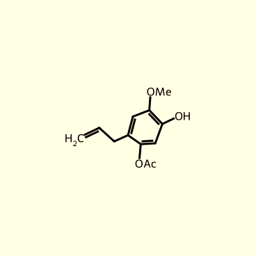 C=CCc1cc(OC)c(O)cc1OC(C)=O